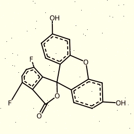 O=C1OC2(c3ccc(O)cc3Oc3cc(O)ccc32)c2c(F)ccc(F)c21